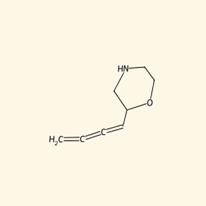 C=C=C=CC1CNCCO1